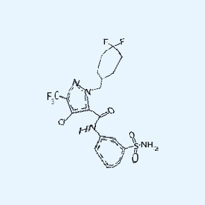 NS(=O)(=O)c1cccc(NC(=O)c2c(Cl)c(C(F)(F)F)nn2CC2CCC(F)(F)CC2)c1